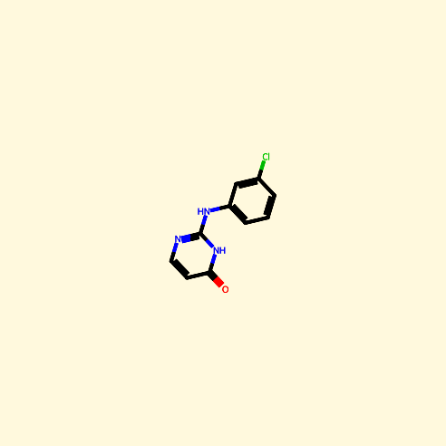 O=c1ccnc(Nc2cccc(Cl)c2)[nH]1